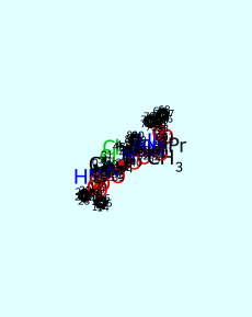 Cc1c[nH]c2c(OP(=O)(OCc3ccccc3)OCc3ccccc3)cc3c(c12)[C@H](CCl)CN3C(=O)C12CC(C(=O)N3C[C@@H](CCl)c4c3cc(NC(=O)[C@H](C)NC(=O)[C@@H](NC(=O)OCC3c5ccccc5-c5ccccc53)C(C)C)c3ccccc43)(C1)C2